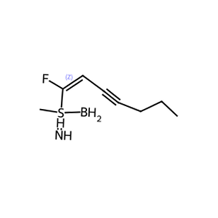 B[SH](C)(=N)/C(F)=C\C#CCCC